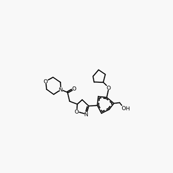 O=C(CC1CC(c2ccc(CO)c(OC3CCCC3)c2)=NO1)N1CCOCC1